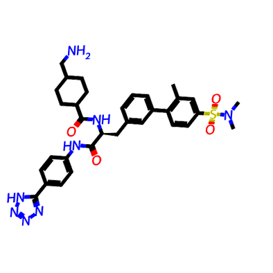 Cc1cc(S(=O)(=O)N(C)C)ccc1-c1cccc(C[C@H](NC(=O)C2CCC(CN)CC2)C(=O)Nc2ccc(-c3nnn[nH]3)cc2)c1